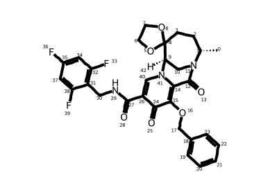 C[C@H]1CCC2(OCCO2)[C@H]2CN1C(=O)c1c(OCc3ccccc3)c(=O)c(C(=O)NCc3c(F)cc(F)cc3F)cn12